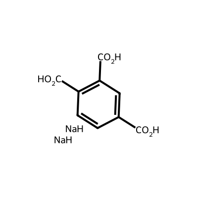 O=C(O)c1ccc(C(=O)O)c(C(=O)O)c1.[NaH].[NaH]